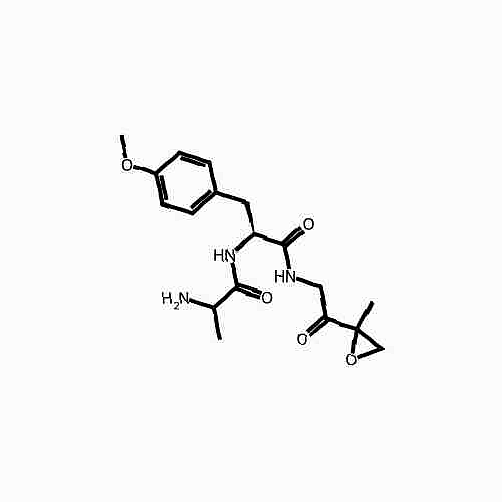 COc1ccc(C[C@H](NC(=O)C(C)N)C(=O)NCC(=O)C2(C)CO2)cc1